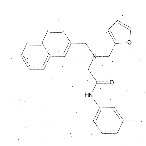 Cc1cccc(NC(=O)CN(Cc2ccc3ccccc3c2)Cc2ccco2)c1